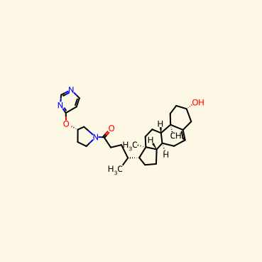 CC(CCC(=O)N1CC[C@H](Oc2ccncn2)C1)[C@H]1CC[C@H]2[C@@H]3CC=C4C[C@@H](O)CC[C@]4(C)[C@H]3CC[C@]12C